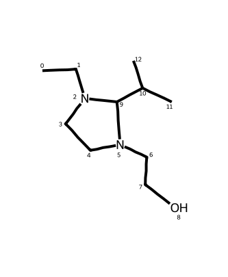 CCN1CCN(CCO)C1C(C)C